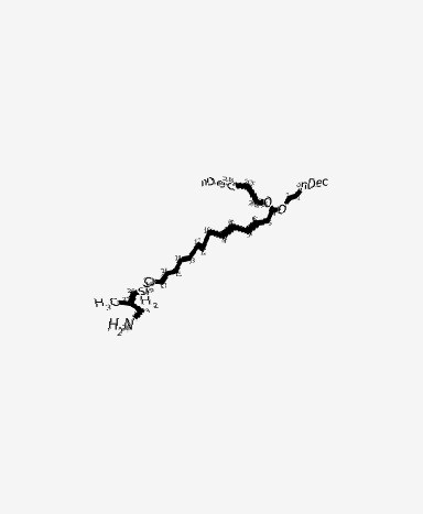 CCCCCCCCCCCCOC(CCCCCCCCCCCCCO[SiH2]CC(C)CN)OCCCCCCCCCCCC